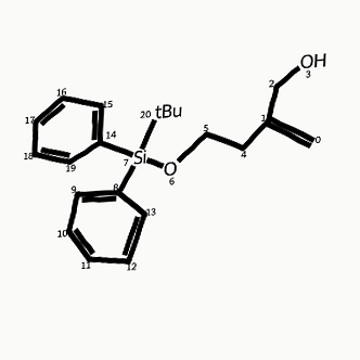 C=C(CO)CCO[Si](c1ccccc1)(c1ccccc1)C(C)(C)C